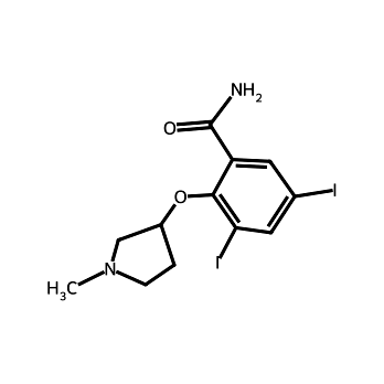 CN1CCC(Oc2c(I)cc(I)cc2C(N)=O)C1